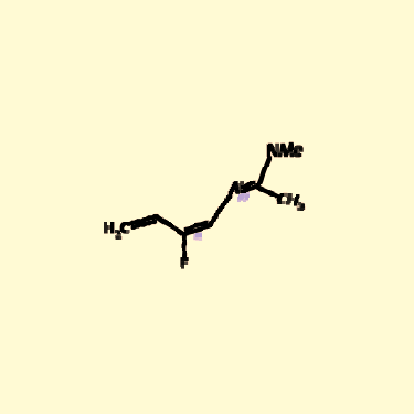 C=C/C(F)=C\N=C(/C)NC